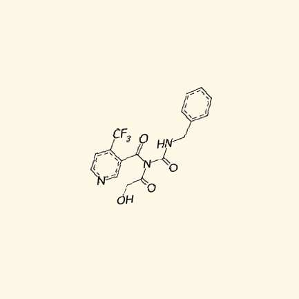 O=C(CO)N(C(=O)NCc1ccccc1)C(=O)c1cnccc1C(F)(F)F